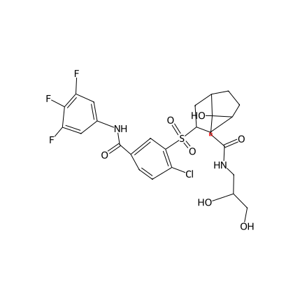 O=C(CC1(O)C2CCC1CC(S(=O)(=O)c1cc(C(=O)Nc3cc(F)c(F)c(F)c3)ccc1Cl)C2)NCC(O)CO